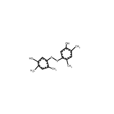 Cc1cc(C)c(SSc2cc(O)c(C)cc2C)cc1O